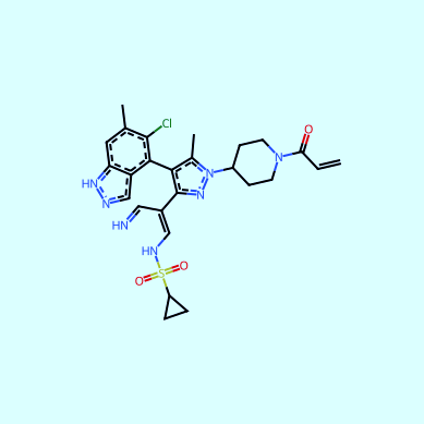 C=CC(=O)N1CCC(n2nc(/C(C=N)=C/NS(=O)(=O)C3CC3)c(-c3c(Cl)c(C)cc4[nH]ncc34)c2C)CC1